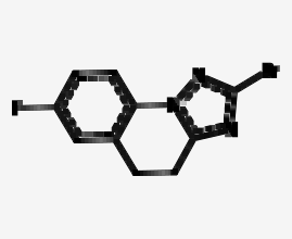 Fc1ccc2c(c1)CCc1nc(Br)nn1-2